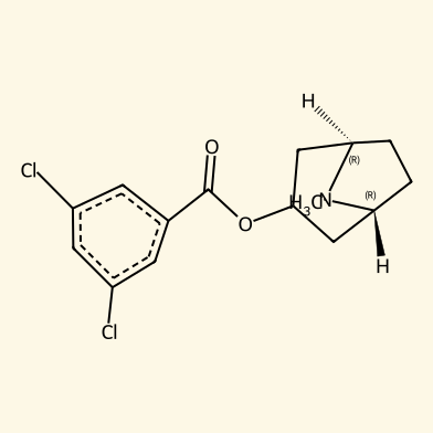 CN1[C@@H]2CC[C@@H]1CC(OC(=O)c1cc(Cl)cc(Cl)c1)C2